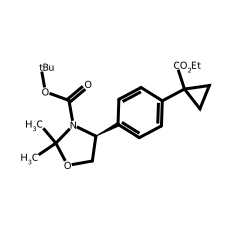 CCOC(=O)C1(c2ccc([C@H]3COC(C)(C)N3C(=O)OC(C)(C)C)cc2)CC1